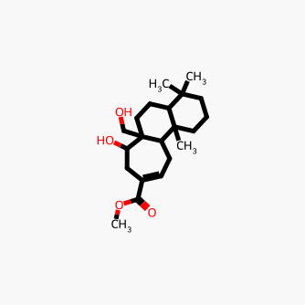 COC(=O)C1=CCC2C3(C)CCCC(C)(C)C3CCC2(CO)C(O)C1